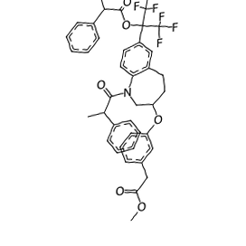 COC(=O)Cc1cccc(OC2CCc3cc(C(OC(=O)C(C)c4ccccc4)(C(F)(F)F)C(F)(F)F)ccc3N(C(=O)C(C)c3ccccc3)C2)c1